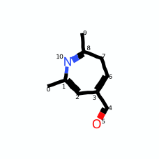 CC1=CC(C=O)=CCC(C)=N1